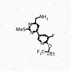 CC[C@@H](Oc1ncc(-c2cc(CN)nc(SC)n2)cc1F)C(F)(F)F